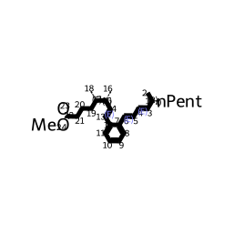 CCCCC[C@@H](C)/C=C/C=C/c1ccccc1/C=C/[C@@H](C)[C@@H](C)CCCC(=O)OC